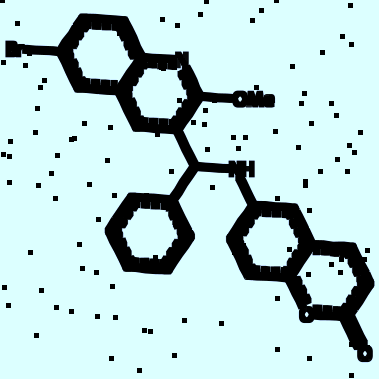 COc1nc2ccc(Br)cc2cc1C(Nc1ccc2oc(=O)ccc2c1)c1ccccc1